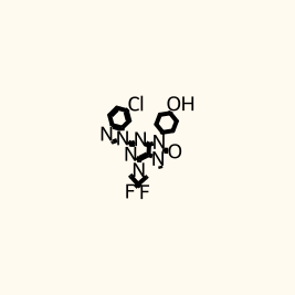 Cn1c(=O)n(C2CCC(O)CC2)c2nc(-n3cnc4ccc(Cl)cc43)nc(N3CC(F)(F)C3)c21